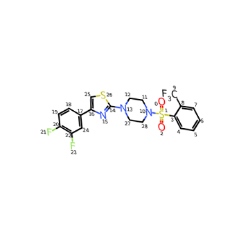 O=S(=O)(c1ccccc1C(F)(F)F)N1CCN(c2nc(-c3ccc(F)c(F)c3)cs2)CC1